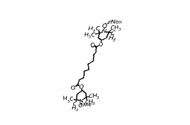 CCCCCCCCCON1C(C)(C)CC(OC(=O)CCCCCCCCC(=O)OC2CC(C)(C)N(OC)C(C)(C)C2)CC1(C)C